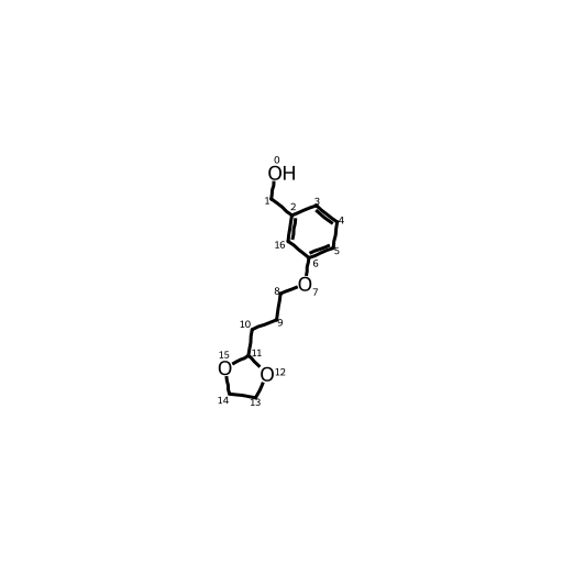 OCc1cccc(OCCCC2OCCO2)c1